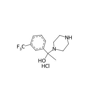 CC(O)(c1cccc(C(F)(F)F)c1)N1CCNCC1.Cl